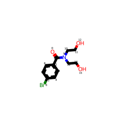 O=C(c1ccc(Br)cc1)N(CCO)CCO